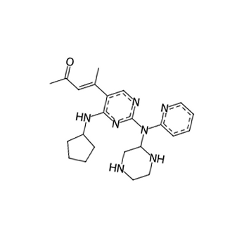 CC(=O)C=C(C)c1cnc(N(c2ccccn2)C2CNCCN2)nc1NC1CCCC1